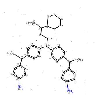 CCCCCCCCCCC(c1ccc(N)cc1)c1ccc(C(CCC(CCCCCCC)C2CCCCC2)c2ccc(C(CCCCCCCCCC)c3ccc(N)cc3)cc2)cc1